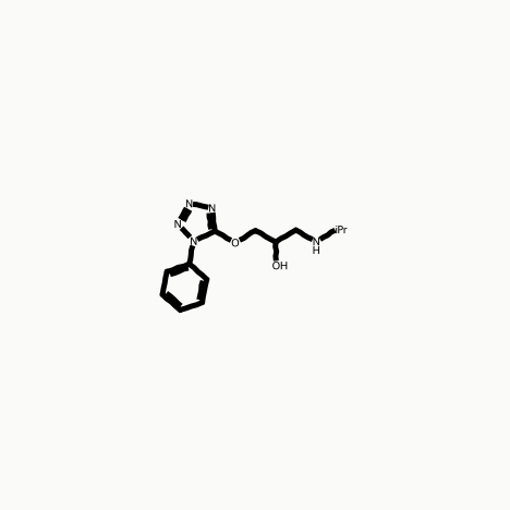 CC(C)NCC(O)COc1nnnn1-c1ccccc1